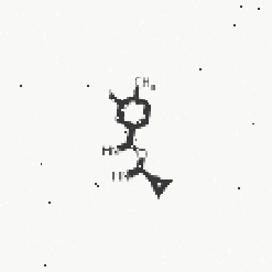 Cc1ccc(C(=N)OC(=N)C2CC2)cc1I